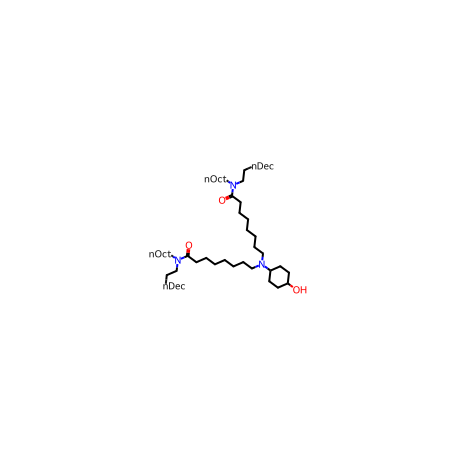 CCCCCCCCCCCCN(CCCCCCCC)C(=O)CCCCCCCN(CCCCCCCC(=O)N(CCCCCCCC)CCCCCCCCCCCC)C1CCC(O)CC1